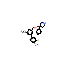 N#Cc1ccc(-c2cc(COCC3(c4ccccc4)CCNCC3)cc(C(F)(F)F)c2)cc1F